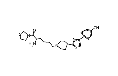 N#Cc1ccc(-c2csc(C3CCN(CCCCC(N)C(=O)N4CCSC4)CC3)n2)cc1